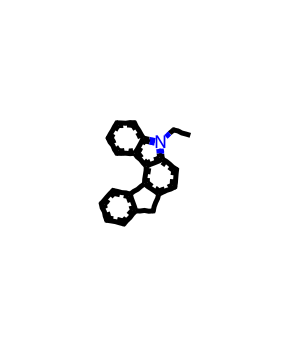 CCn1c2ccccc2c2c3c(ccc21)Cc1ccccc1-3